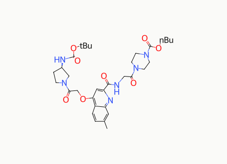 CCCCOC(=O)N1CCN(C(=O)CNC(=O)c2cc(OCC(=O)N3CC[C@@H](NC(=O)OC(C)(C)C)C3)c3ccc(C)cc3n2)CC1